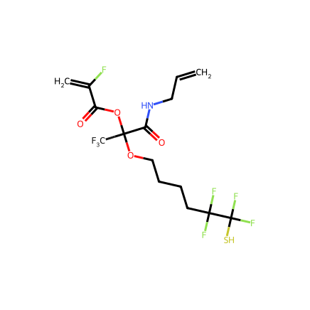 C=CCNC(=O)C(OCCCCC(F)(F)C(F)(F)S)(OC(=O)C(=C)F)C(F)(F)F